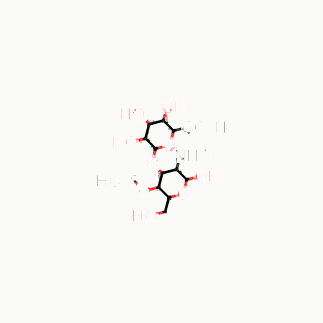 CC(=O)NC1C(O)OC(CO)C(OS(=O)(=O)O)C1OC1OC(C(=O)O)C(O)C(O)C1O